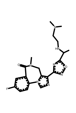 CC(NCCN(C)C)c1nc(-c2ncn3c2CN(C)C(=O)c2cc(F)ccc2-3)no1